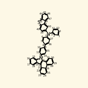 c1ccc(N(c2ccc(-c3ccc(-n4c5ccccc5c5c6ccccc6c6ccccc6c54)cc3)cc2)c2ccc3sc4ccccc4c3c2)cc1